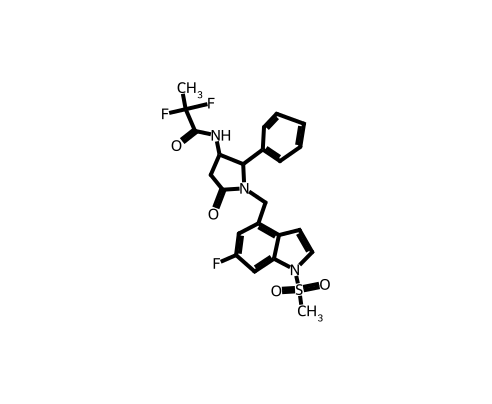 CC(F)(F)C(=O)NC1CC(=O)N(Cc2cc(F)cc3c2ccn3S(C)(=O)=O)C1c1ccccc1